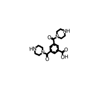 O=C(O)c1cc(C(=O)N2CCNCC2)cc(C(=O)N2CCNCC2)c1